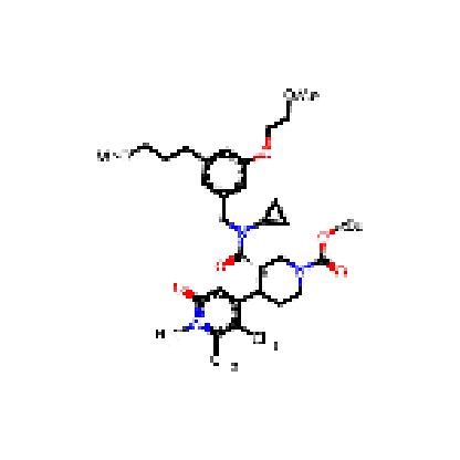 COCCCc1cc(CN(C(=O)[C@@H]2CN(C(=O)OC(C)(C)C)CCC2c2cc(=O)n(C)c(C)c2C)C2CC2)cc(OCCOC)c1